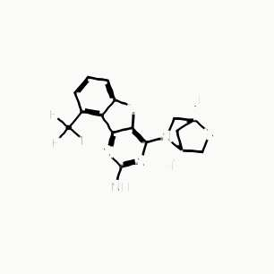 Nc1nc(N2C[C@@H]3C[C@H]2CN3)c2oc3cccc(C(F)(F)F)c3c2n1